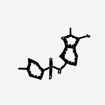 CC(=O)c1c(C)oc2cc(NS(=O)(=O)c3ccc(C)cc3)ccc12